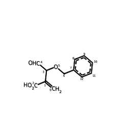 C=C(C(=O)O)C(C=O)OCc1ccccc1